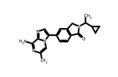 CC(C1CC1)N1Cc2cc(-c3cnc4c(N)nc(C(F)(F)F)cn34)ccc2C1=O